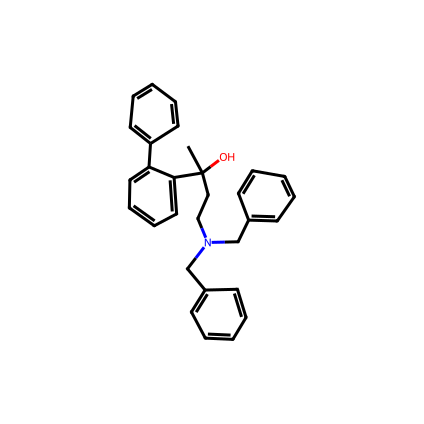 CC(O)(CCN(Cc1ccccc1)Cc1ccccc1)c1ccccc1-c1ccccc1